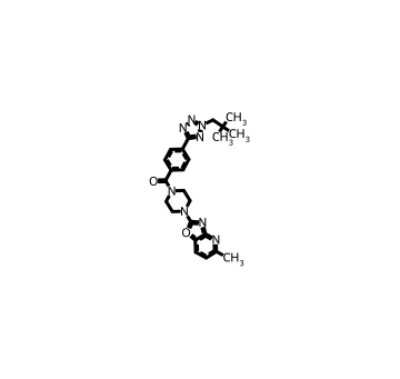 Cc1ccc2oc(N3CCN(C(=O)c4ccc(-c5nnn(CC(C)(C)C)n5)cc4)CC3)nc2n1